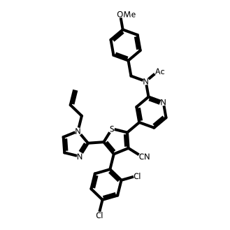 C=CCn1ccnc1-c1sc(-c2ccnc(N(Cc3ccc(OC)cc3)C(C)=O)c2)c(C#N)c1-c1ccc(Cl)cc1Cl